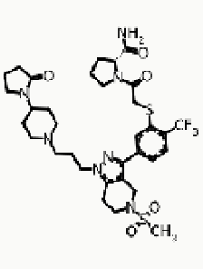 CS(=O)(=O)N1CCc2c(c(-c3ccc(C(F)(F)F)c(SCC(=O)N4CCC[C@@H]4C(N)=O)c3)nn2CCCN2CCC(N3CCCC3=O)CC2)C1